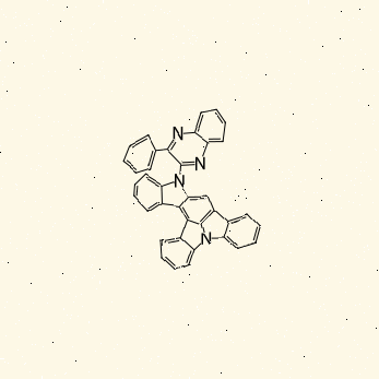 c1ccc(-c2nc3ccccc3nc2-n2c3ccccc3c3c4c5ccccc5n5c6ccccc6c(cc32)c45)cc1